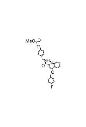 COC(=O)/C=C/c1ccc(CNC(=O)c2cc(OCc3ccc(F)cc3)c3ccccc3n2)cc1